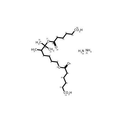 CC(CCCCOC(=O)CCCCC(=O)O)C(C)(C)OC(=O)CCCCC(=O)O.N.N